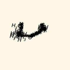 Cc1ncsc1-c1ccc(CNC(=O)[C@@H]2C[C@@H](O)CN2C(O)[C@@H](NC(=O)CCCCCCCCC(=O)N2CCN(C3CCN(c4ccc5c(c4)C(=O)N(C(C(=O)Nc4nccs4)c4cc(F)ccc4O)C5)CC3)CC2)C(C)(C)C)cc1